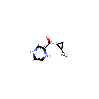 CC(=O)[C@@H]1C[C@H]1C(=O)c1cnccn1